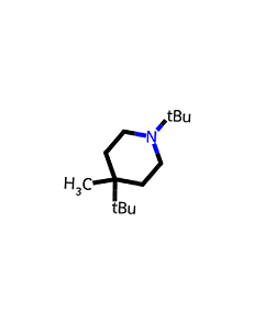 CC(C)(C)N1CCC(C)(C(C)(C)C)CC1